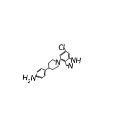 Nc1ccc(C2CCN(c3cc(Cl)cc4[nH]ncc34)CC2)cc1